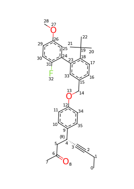 CCC#C[C@H](CC(C)=O)c1ccc(OCc2ccc(C(C)(C)C)c(-c3cc(OC)ccc3F)c2)cc1